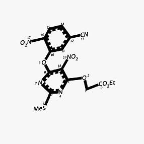 CCOC(=O)COc1nc(SC)nc(Oc2cc(C#N)ccc2[N+](=O)[O-])c1[N+](=O)[O-]